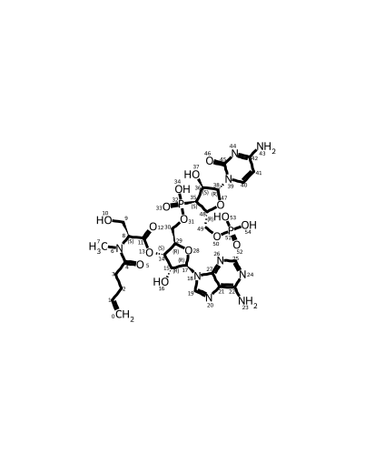 C=CCCC(=O)N(C)[C@@H](CO)C(=O)O[C@H]1[C@@H](O)[C@H](n2cnc3c(N)ncnc32)O[C@@H]1COP(=O)(O)[C@H]1[C@@H](O)[C@H](n2ccc(N)nc2=O)O[C@@H]1COP(=O)(O)O